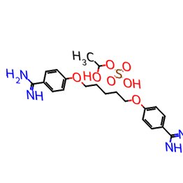 CC(O)OS(=O)(=O)O.N=C(N)c1ccc(OCCCCCOc2ccc(C(=N)N)cc2)cc1